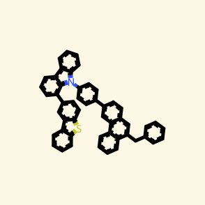 c1ccc(Cc2cc3ccc(-c4ccc(-n5c6ccccc6c6cccc(-c7ccc8sc9ccccc9c8c7)c65)cc4)cc3c3ccccc23)cc1